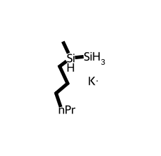 CCCCCC[SiH](C)[SiH3].[K]